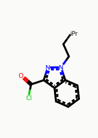 CC(C)CCn1nc(C(=O)Cl)c2ccccc21